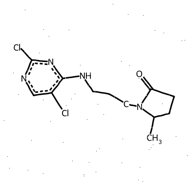 CC1CCC(=O)N1CCCNc1nc(Cl)ncc1Cl